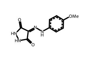 COc1ccc(NN=C2C(=O)NNC2=O)cc1